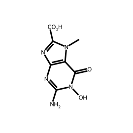 Cn1c(C(=O)O)nc2nc(N)n(O)c(=O)c21